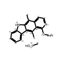 CCCOc1nccc2c(C)c3[nH]c4ccccc4c3c(C)c12.CS(=O)(=O)O